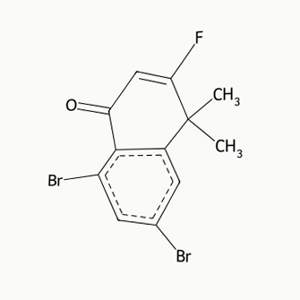 CC1(C)C(F)=CC(=O)c2c(Br)cc(Br)cc21